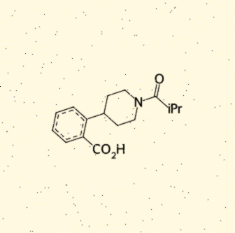 CC(C)C(=O)N1CCC(c2ccccc2C(=O)O)CC1